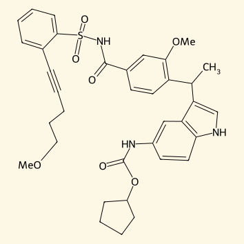 COCCCC#Cc1ccccc1S(=O)(=O)NC(=O)c1ccc(C(C)c2c[nH]c3ccc(NC(=O)OC4CCCC4)cc23)c(OC)c1